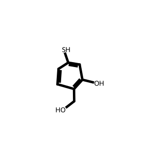 OCc1ccc(S)cc1O